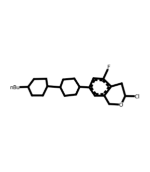 CCCCC1CCC(C2CCC(c3cc(F)c4c(c3)COC(Cl)C4)CC2)CC1